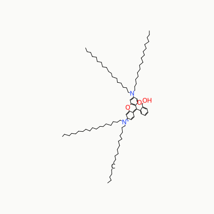 CCCCCCCCCCCCCCCCCCN(CCCCCCCCCCCCCCCCCC)c1ccc2c(-c3ccccc3C(=O)O)c3ccc(=[N+](CCCCCCCCCCCCCCCCCC)CCCCCCCCCCCCCCCCCC)cc-3oc2c1